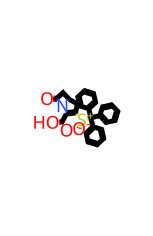 O=C(O)C1=C([S+]([O-])C(c2ccccc2)(c2ccccc2)c2ccccc2)CC2CC(=O)N12